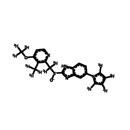 [2H]c1c([2H])c([2H])n(-c2ccc3[nH]c([S+]([O-])C([2H])([2H])c4nccc(OC([2H])([2H])[2H])c4C([2H])([2H])[2H])nc3c2)c1[2H]